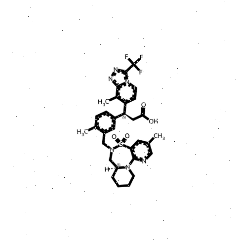 Cc1cnc2c(c1)S(=O)(=O)N(Cc1cc([C@H](CC(=O)O)c3ccn4c(C(F)(F)F)nnc4c3C)ccc1C)C[C@@H]1CCCCN21